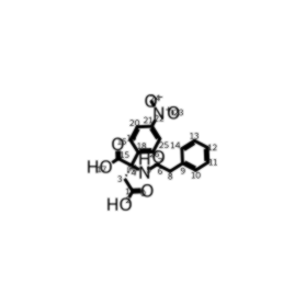 O=C(O)C[C@](NC(=O)Cc1ccccc1)(C(=O)O)c1ccc([N+](=O)[O-])cc1